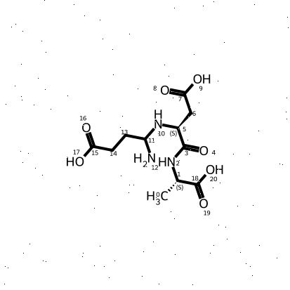 C[C@H](NC(=O)[C@H](CC(=O)O)NC(N)CCC(=O)O)C(=O)O